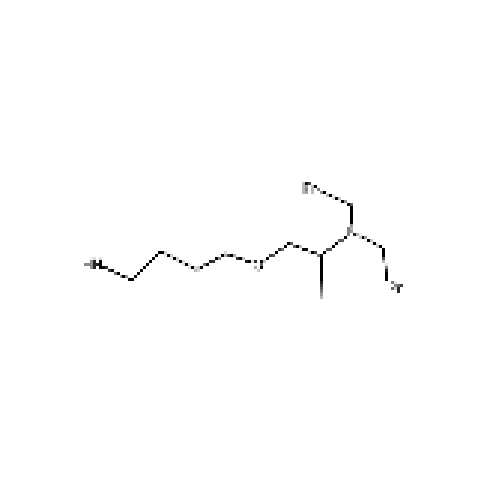 CC(C)CN(CC(C)C)C(C)COCCCC[NH]